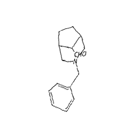 O=CC1C2CCC1CN(Cc1ccccc1)C2